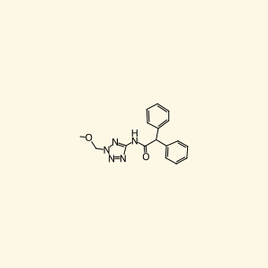 COCn1nnc(NC(=O)C(c2ccccc2)c2ccccc2)n1